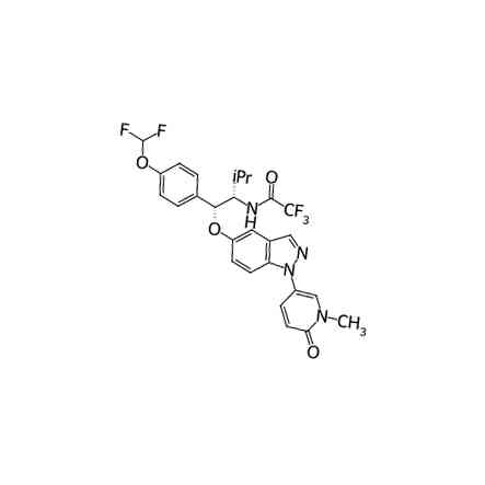 CC(C)[C@H](NC(=O)C(F)(F)F)[C@H](Oc1ccc2c(cnn2-c2ccc(=O)n(C)c2)c1)c1ccc(OC(F)F)cc1